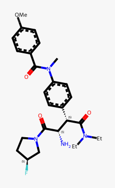 CCN(CC)C(=O)[C@@H](c1ccc(N(C)C(=O)c2ccc(OC)cc2)cc1)[C@H](N)C(=O)N1CC[C@H](F)C1